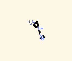 Cc1cc(NCCCn2ccnc2)ccc1N